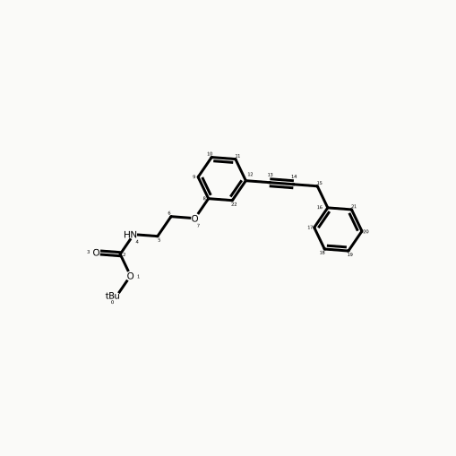 CC(C)(C)OC(=O)NCCOc1cccc(C#CCc2ccccc2)c1